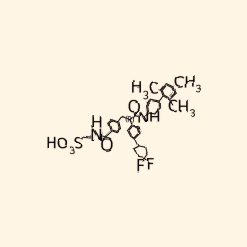 Cc1cc(C)c(-c2ccc(NC(=O)[C@H](Cc3ccc(C(=O)NCCS(=O)(=O)O)cc3)c3ccc(C4=CCC(F)(F)CC4)cc3)cc2)c(C)c1